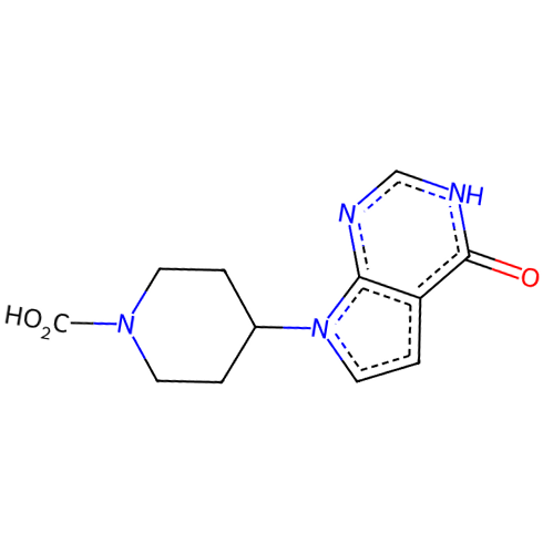 O=C(O)N1CCC(n2ccc3c(=O)[nH]cnc32)CC1